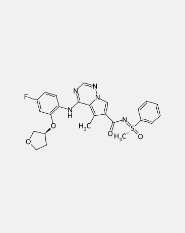 Cc1c(C(=O)N=[S@](C)(=O)c2ccccc2)cn2ncnc(Nc3ccc(F)cc3O[C@H]3CCOC3)c12